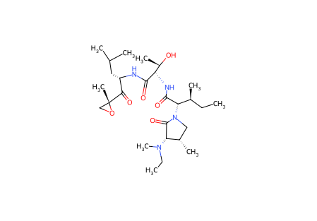 CC[C@H](C)[C@@H](C(=O)N[C@H](C(=O)N[C@@H](CC(C)C)C(=O)[C@@]1(C)CO1)[C@@H](C)O)N1C[C@H](C)[C@H](N(C)CC)C1=O